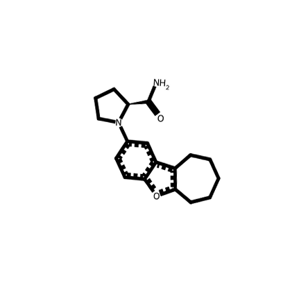 NC(=O)[C@@H]1CCCN1c1ccc2oc3c(c2c1)CCCCC3